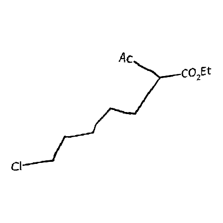 CCOC(=O)C(CCCCCCl)C(C)=O